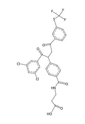 O=C(O)CCNC(=O)c1ccc(C(CC(=O)c2cccc(SC(F)(F)F)c2)C(=O)c2cc(Cl)cc(Cl)c2)cc1